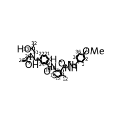 COc1ccc(/C=N/NC(=O)c2c(C)csc2NC(=O)c2cccc(CN(CC(C)O)CC(C)O)c2)cc1